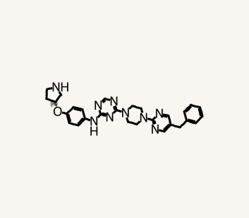 c1ccc(Cc2cnc(N3CCN(c4ncnc(Nc5ccc(O[C@@H]6CCNC6)cc5)n4)CC3)nc2)cc1